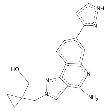 Nc1nc2cc(-c3cc[nH]n3)ccc2c2nn(CC3(CO)CC3)cc12